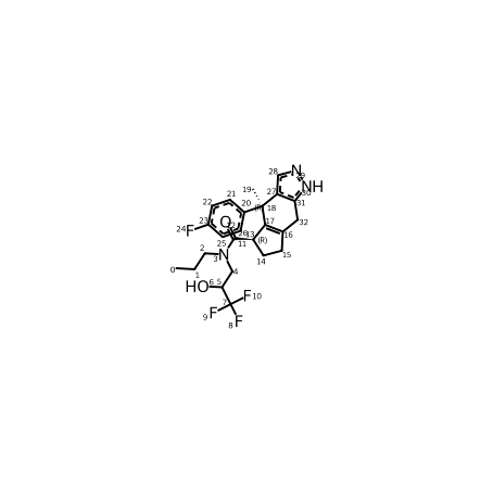 CCCN(CC(O)C(F)(F)F)C(=O)[C@@H]1CCC2=C1[C@@](C)(c1ccc(F)cc1)c1cn[nH]c1C2